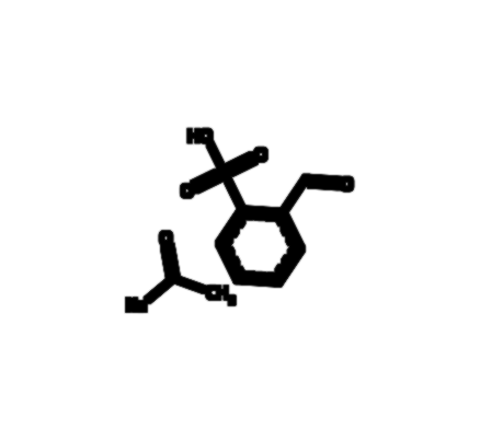 C[C](=O)[Na].O=Cc1ccccc1S(=O)(=O)O